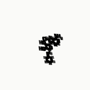 Nc1ncnc2c1nc(Cl)n2[C@@H]1O[C@H](CSc2ccccc2)[C@@H](O)[C@H]1O